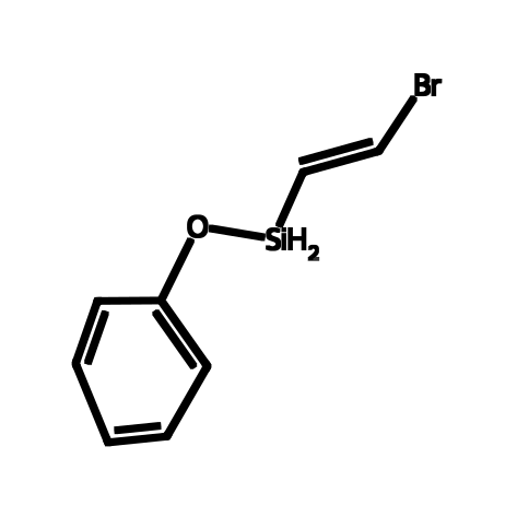 BrC=C[SiH2]Oc1ccccc1